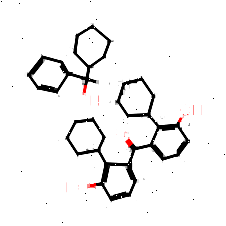 O=C(O)C(O)(c1ccccc1)C1CCCCC1.O=C(c1cccc(O)c1C1CCCCC1)c1cccc(O)c1C1CCCCC1